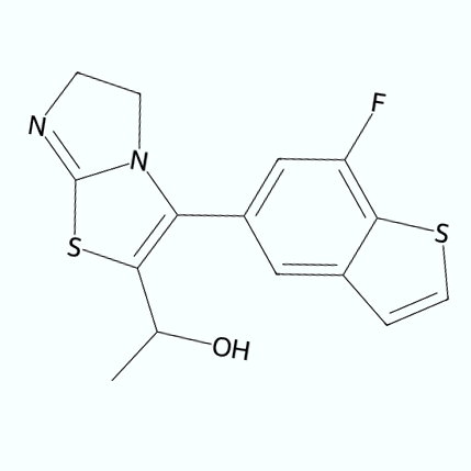 CC(O)C1=C(c2cc(F)c3sccc3c2)N2CCN=C2S1